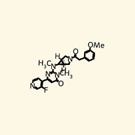 COc1cccc(CC(=O)N2C[C@@H]3C(N(C)c4nc(-c5ccncc5F)cc(=O)n4C)[C@@H]3C2)c1